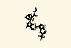 CCOC(=O)[C@@H]1C=C2CC(C2)[C@H]1n1cc(F)c2cnc(-c3c[nH]c4ncc(C(F)(F)F)cc34)nc21